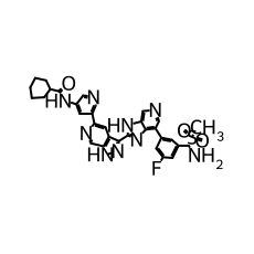 CS(=O)(=O)C(N)c1cc(F)cc(-c2cncc3[nH]c(-c4n[nH]c5cnc(-c6cncc(NC(=O)C7CCCCC7)c6)cc45)nc23)c1